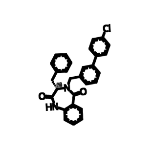 O=C1Nc2ccccc2C(=O)N(Cc2cccc(-c3ccc(Cl)cc3)c2)[C@H]1Cc1ccccc1